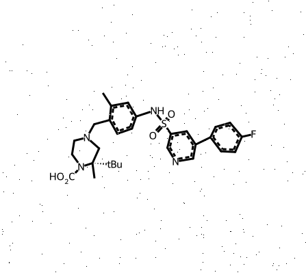 Cc1cc(NS(=O)(=O)c2cncc(-c3ccc(F)cc3)c2)ccc1CN1CCN(C(=O)O)[C@@](C)(C(C)(C)C)C1